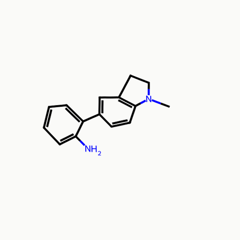 CN1CCc2cc(-c3ccccc3N)ccc21